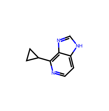 [c]1nc2c(C3CC3)nccc2[nH]1